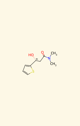 CN(C)C(=O)C[C@@H](O)c1cccs1